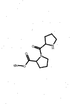 CC(C)(C)OC(=O)C1CCCN1C(=O)C1CCCN1